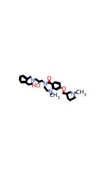 CN1CCCC(COc2ccc3c(c2)N(C)CCN(C[C@H](O)CN2CCc4ccccc4C2)C3=O)C1